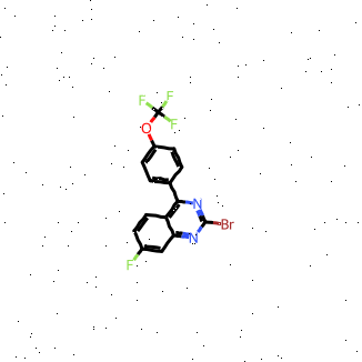 Fc1ccc2c(-c3ccc(OC(F)(F)F)cc3)nc(Br)nc2c1